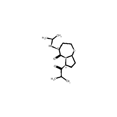 CC(C)N[C@H]1CCOC2CC[C@@H](C(=O)C(C)C)N2C1=O